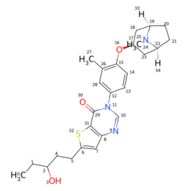 CCC(O)CCc1cc2ncn(-c3ccc(O[C@H]4C[C@H]5CC[C@@H](C4)N5C)c(C)c3)c(=O)c2s1